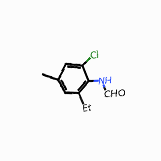 CCc1cc(C)cc(Cl)c1NC=O